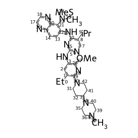 CCc1cc(Nc2ncc(C(C)C)c(Nc3ccc4nccnc4c3N(C)SC)n2)c(OC)nc1N1CCC(N2CCN(C)CC2)CC1